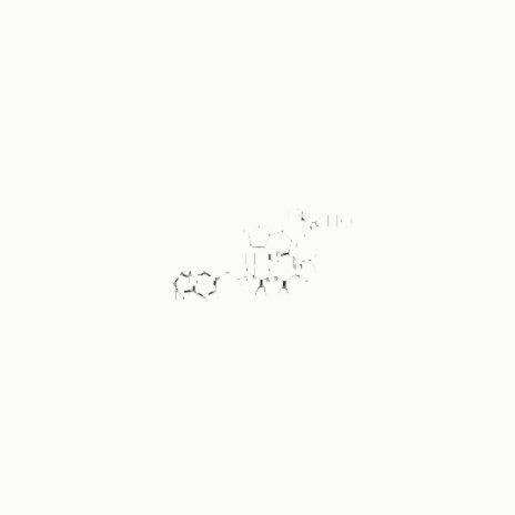 O=CN(O)C[C@@H](CC1CCCC1)C(=O)N1CCC[C@H]1C(=O)NC(=O)NCCc1ccc2nccn2c1